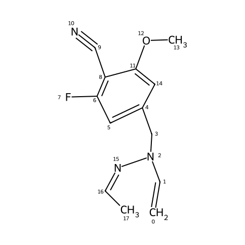 C=CN(Cc1cc(F)c(C#N)c(OC)c1)/N=C\C